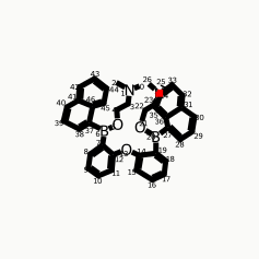 CN(C)CCOB(c1ccccc1Oc1ccccc1B(OCCN(C)C)c1cccc2ccccc12)c1cccc2ccccc12